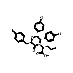 CCC[C@@H](C(=O)O)N1C(=O)[C@@H](Cc2ccc(I)cc2)O[C@H](c2ccc(Cl)cc2)[C@@H]1c1ccc(Cl)cc1